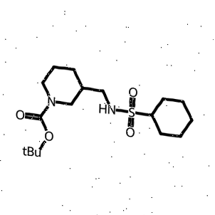 CC(C)(C)OC(=O)N1CCCC(CNS(=O)(=O)C2CCCCC2)C1